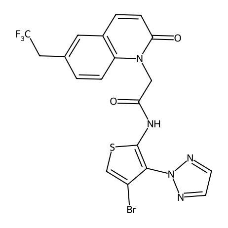 O=C(Cn1c(=O)ccc2cc(CC(F)(F)F)ccc21)Nc1scc(Br)c1-n1nccn1